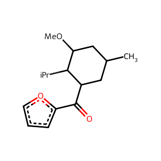 COC1CC(C)CC(C(=O)c2ccco2)C1C(C)C